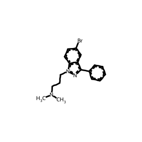 CN(C)CCCn1nc(-c2ccccc2)c2cc(Br)ccc21